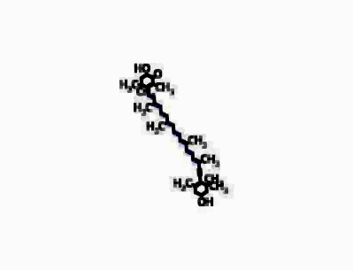 CC1=C(C#C/C(C)=C/C=C/C(C)=C/C=C/C=C(C)/C=C/C=C(C)/C=C/C2=C(C)C(=O)C(O)CC2(C)C)C(C)(C)CC(O)C1